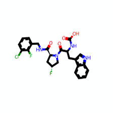 O=C(O)NC(Cc1c[nH]c2ccccc12)C(=O)N1C[C@H](F)C[C@H]1C(=O)NCc1cccc(Cl)c1F